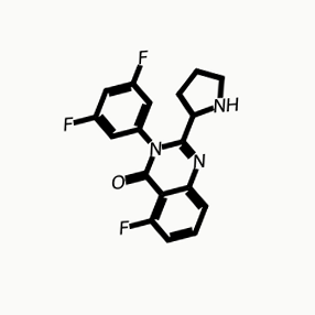 O=c1c2c(F)cccc2nc(C2CCCN2)n1-c1cc(F)cc(F)c1